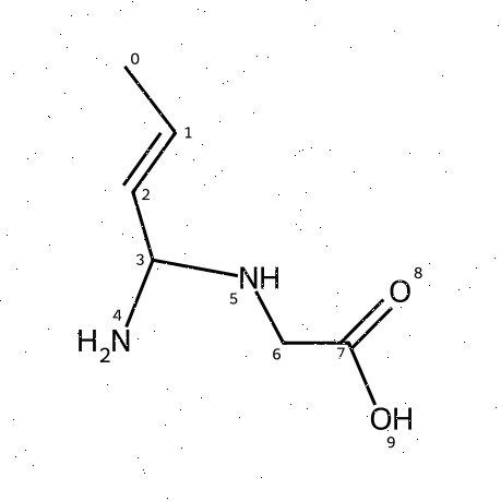 CC=CC(N)NCC(=O)O